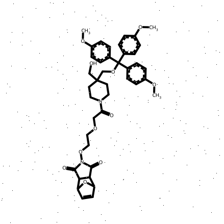 COc1ccc(C(OCC2(CO)CCN(C(=O)COCCON3C(=O)C4C5C=CC(O5)C4C3=O)CC2)(c2ccc(OC)cc2)c2ccc(OC)cc2)cc1